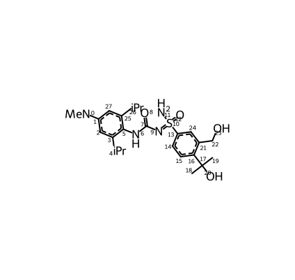 CNc1cc(C(C)C)c(NC(=O)N=S(N)(=O)c2ccc(C(C)(C)O)c(CO)c2)c(C(C)C)c1